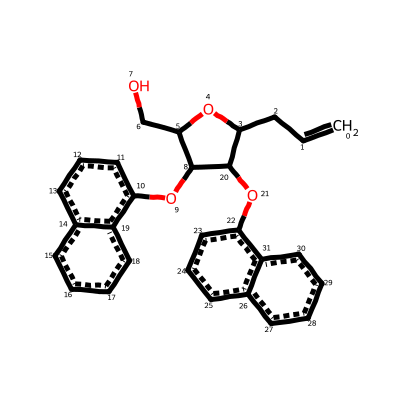 C=CCC1OC(CO)C(Oc2cccc3ccccc23)C1Oc1cccc2ccccc12